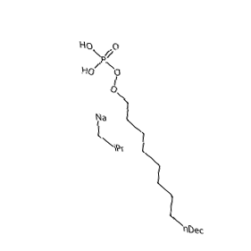 CC(C)[CH2][Na].CCCCCCCCCCCCCCCCCCOOP(=O)(O)O